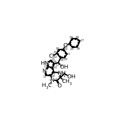 CN1C(=O)C(C)(CO)Nc2c1cnc1[nH]cc(C(O)c3ccc(Oc4ccccc4)cc3Cl)c21